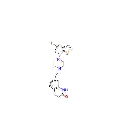 O=C1CCc2ccc(CCN3CCN(c4cc(F)cc5ccsc45)CC3)cc2N1